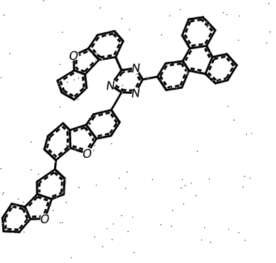 c1ccc2c(c1)oc1ccc(-c3cccc4c3oc3ccc(-c5nc(-c6ccc7c8ccccc8c8ccccc8c7c6)nc(-c6cccc7oc8ccccc8c67)n5)cc34)cc12